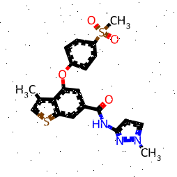 Cc1csc2cc(C(=O)Nc3ccn(C)n3)cc(Oc3ccc(S(C)(=O)=O)cc3)c12